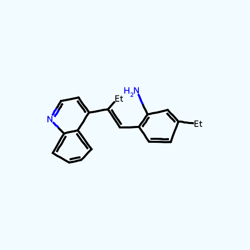 CCC(=Cc1ccc(CC)cc1N)c1ccnc2ccccc12